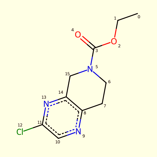 CCOC(=O)N1CCc2ncc(Cl)nc2C1